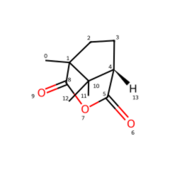 CC12CC[C@H](C(=O)OC1=O)C2(C)C